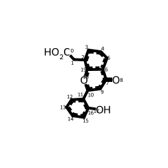 O=C(O)Cc1cccc2c(=O)cc(-c3ccccc3O)oc12